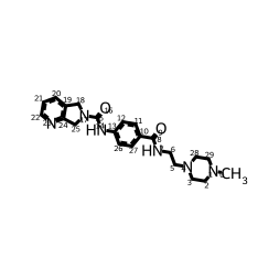 CN1CCN(CCNC(=O)c2ccc(NC(=O)N3Cc4cccnc4C3)cc2)CC1